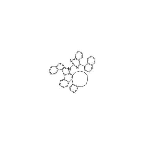 c1ccc2c(c1)CCCCCCCc1c-2c2ccccc2c2c3c4ccccc4ccc3n(-c3nc(-c4cccc5ccccc45)c4ccccc4n3)c12